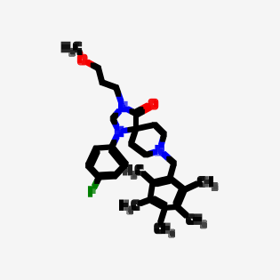 COCCCN1CN(c2ccc(F)cc2)C2(CCN(Cc3c(C)c(C)c(C)c(C)c3C)CC2)C1=O